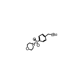 CC(C)(C)Cc1ccc(S(=O)(=O)N2CCOCC2)cc1